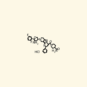 Cl.NC(=O)C1CCN(C(=O)c2cc(-c3ccccc3)nc3c4c(nn23)CCN([C@H]2CO[C@H](c3cc(F)ccc3F)[C@@H](N)C2)C4)CC1